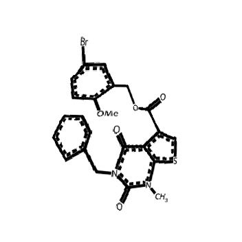 COc1ccc(Br)cc1COC(=O)c1csc2c1c(=O)n(Cc1ccccc1)c(=O)n2C